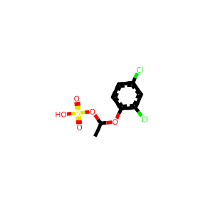 CC(Oc1ccc(Cl)cc1Cl)OS(=O)(=O)O